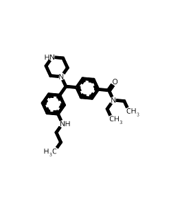 CCCNc1cccc(C(c2ccc(C(=O)N(CC)CC)cc2)N2CCNCC2)c1